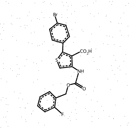 O=C(Nc1csc(-c2ccc(Br)cc2)c1C(=O)O)OCc1ccccc1F